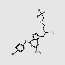 CC(Cn1cnc2c(Sc3ccc(O)cc3)nc(N)nc21)OCPCC(F)(F)F